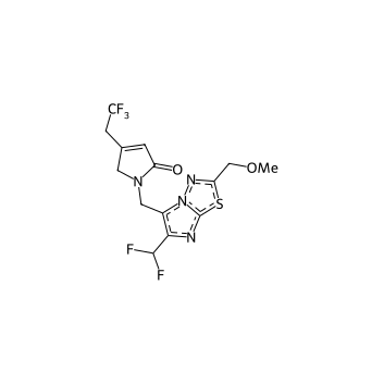 COCc1nn2c(CN3CC(CC(F)(F)F)=CC3=O)c(C(F)F)nc2s1